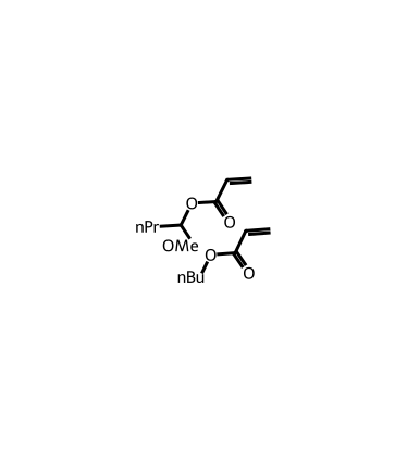 C=CC(=O)OC(CCC)OC.C=CC(=O)OCCCC